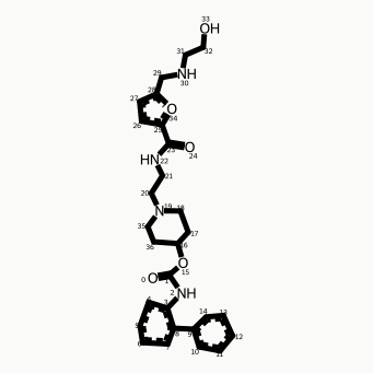 O=C(Nc1ccccc1-c1ccccc1)OC1CCN(CCNC(=O)c2ccc(CNCCO)o2)CC1